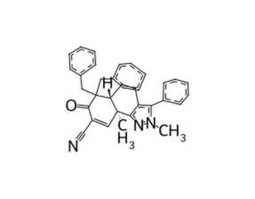 Cn1nc2c(c1-c1ccccc1)CC[C@H]1C(Cc3ccccc3)(Cc3ccccc3)C(=O)C(C#N)=C[C@]21C